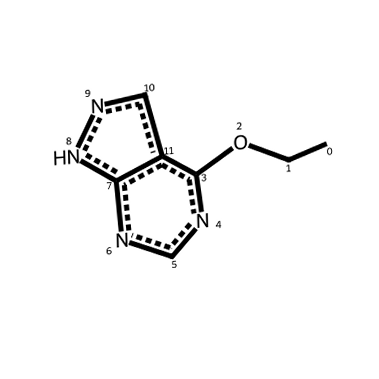 CCOc1ncnc2[nH]ncc12